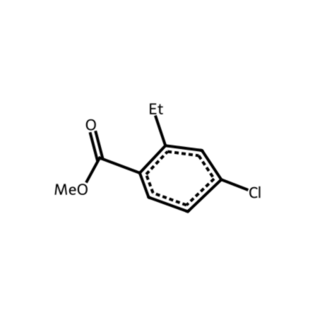 CCc1cc(Cl)ccc1C(=O)OC